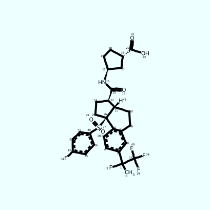 CC(F)(c1ccc2c(c1)CC[C@H]1[C@H](C(=O)N[C@H]3CC[C@H](C(=O)O)C3)CC[C@@]21S(=O)(=O)c1ccc(F)cc1)C(F)(F)F